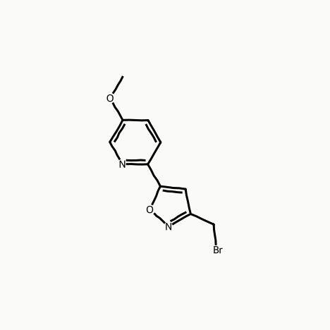 COc1ccc(-c2cc(CBr)no2)nc1